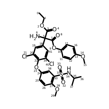 CCOC(=O)C(N)(C(=O)Oc1ccc(OC)cc1)c1cc(Cl)c(Oc2ccc(OC)c(S(=O)(=O)NC(C)C)c2)c(Cl)c1